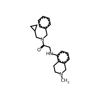 CN1CCc2c(cccc2NCC(=O)N(Cc2ccccc2)CC2CC2)C1